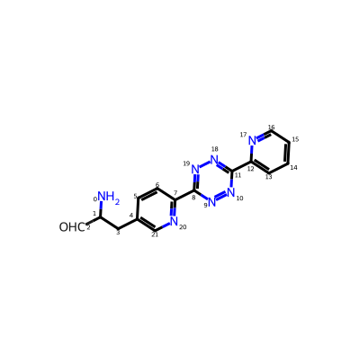 NC(C=O)Cc1ccc(-c2nnc(-c3ccccn3)nn2)nc1